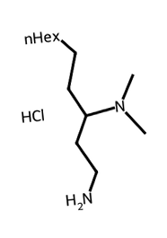 CCCCCCCCC(CCN)N(C)C.Cl